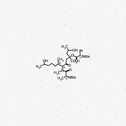 CN[C@@H](C)C(=O)N(C)[C@H](C(=O)CC(CC(C)O)(OC(=O)[C@@H](NC)C(C)C)C(=O)O)[C@H](C)CCCC(C)O